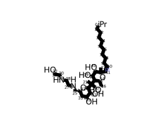 CC(C)CCCCCCCCC/C=C\C1(C)OC(CO)C(C(C)(C)C2O[C@H](CNCCNCCO)C[C@H](O)[C@H]2O)[C@H](O)C1O